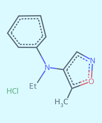 CCN(c1ccccc1)c1cnoc1C.Cl